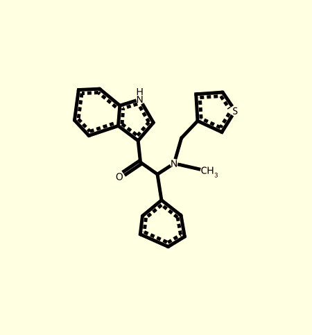 CN(Cc1ccsc1)C(C(=O)c1c[nH]c2ccccc12)c1ccccc1